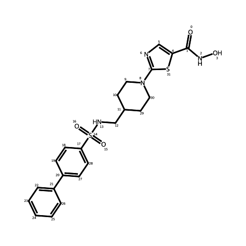 O=C(NO)c1cnc(N2CCC(CNS(=O)(=O)c3ccc(-c4ccccc4)cc3)CC2)s1